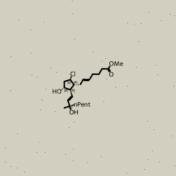 CCCCC[C@](C)(O)C=C[C@@H]1[C@@H](CC=CCCCC(=O)OC)[C@H](Cl)C[C@H]1O